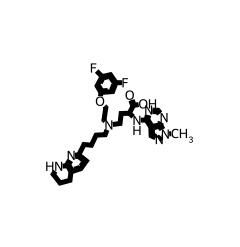 Cn1ncc2c(NC(CCN(CCCCc3ccc4c(n3)NCCC4)CCOc3cc(F)cc(F)c3)C(=O)O)ncnc21